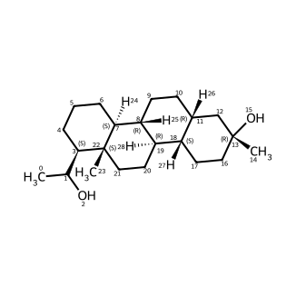 CC(O)[C@H]1CCC[C@H]2[C@@H]3CC[C@@H]4C[C@](C)(O)CC[C@@H]4[C@H]3CC[C@]12C